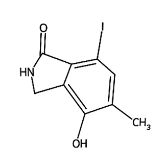 Cc1cc(I)c2c(c1O)CNC2=O